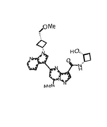 CNc1cc(-c2cn([C@H]3C[C@@H](COC)C3)c3ncccc23)nc2c(C(=O)N[C@H]3CC[C@H]3O)cnn12